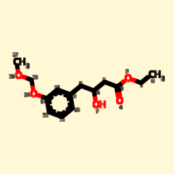 CCOC(=O)CC(O)Cc1cccc(OCOC)c1